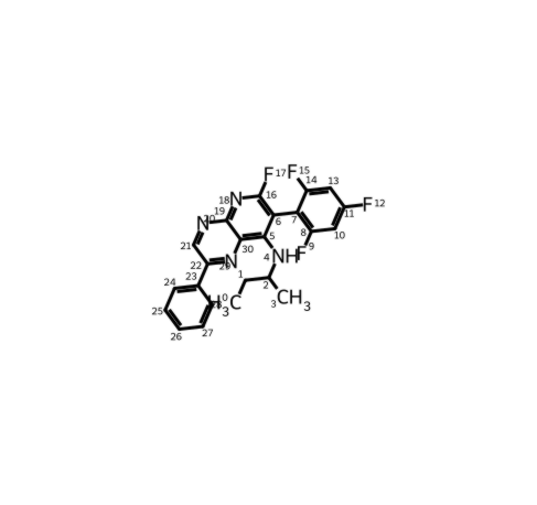 CCC(C)Nc1c(-c2c(F)cc(F)cc2F)c(F)nc2ncc(-c3ccccc3)nc12